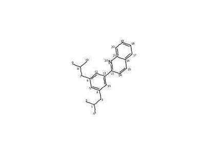 CC(C)Cc1cc(CC(C)C)cc(-c2ccc3ccccc3n2)c1